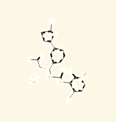 Cn1ccc([O-])c(NC(=O)N[C@@H](CC(=O)[O-])c2cccc(-c3ccc(Cl)s3)c2)c1=O.[Na+].[Na+]